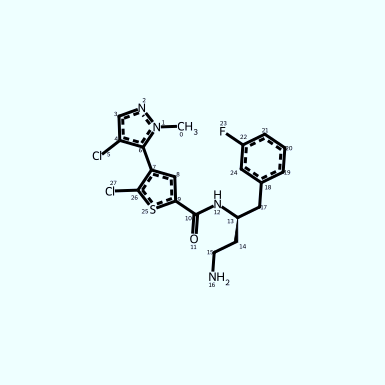 Cn1ncc(Cl)c1-c1cc(C(=O)N[C@H](CCN)Cc2cccc(F)c2)sc1Cl